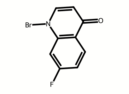 O=c1ccn(Br)c2cc(F)ccc12